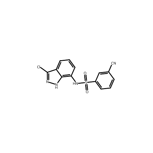 N#Cc1cccc(S(=O)(=O)Nc2cccc3c(Cl)n[nH]c23)c1